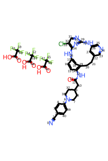 N#Cc1ccc(N2CCC(CC(=O)Nc3ccc4cc3CCc3cncc(c3)Nc3ncc(Cl)c(n3)N4)CC2)cc1.O=C(O)C(F)(F)F.O=C(O)C(F)(F)F.O=C(O)C(F)(F)F